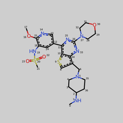 CNC1CCN(Cc2csc3c(-c4cnc(OC)c(NS(C)(=O)=O)c4)nc(N4CCOCC4)nc23)CC1